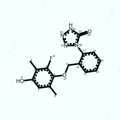 Cc1cc(O)c(C)c(F)c1OCc1ccccc1-n1nn[nH]c1=O